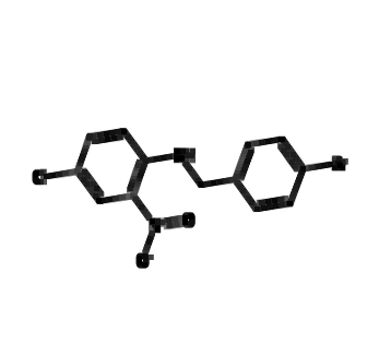 O=[N+]([O-])c1cc(Cl)ccc1NCc1ccc(Br)cc1